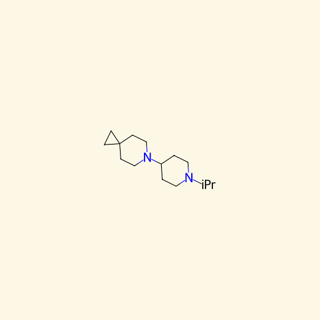 CC(C)N1CCC(N2CCC3(CC2)CC3)CC1